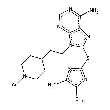 CC(=O)N1CCC(CCn2c(Sc3nc(C)c(C)s3)nc3c(N)ncnc32)CC1